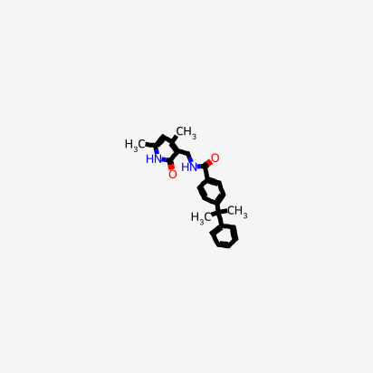 Cc1cc(C)c(CNC(=O)c2ccc(C(C)(C)c3ccccc3)cc2)c(=O)[nH]1